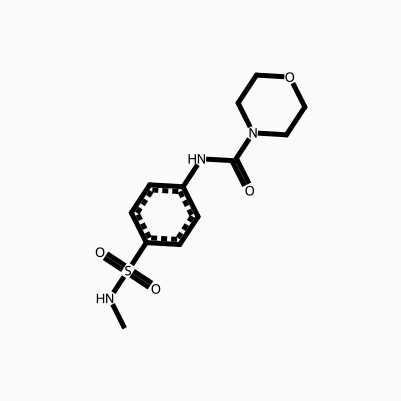 CNS(=O)(=O)c1ccc(NC(=O)N2CCOCC2)cc1